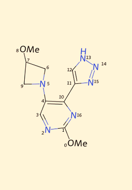 COc1ncc(N2CC(OC)C2)c(-c2c[nH]nn2)n1